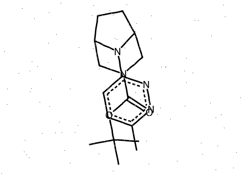 Cc1ccc(N2C3CCC2CN(C(=O)OC(C)(C)C)C3)nn1